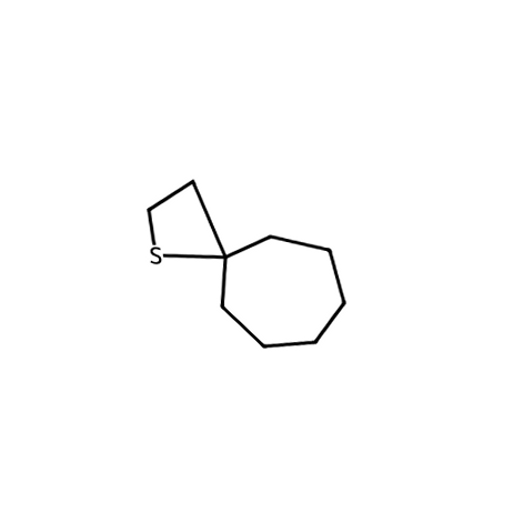 C1CCCC2(CC1)CCS2